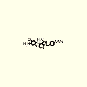 COc1ccc(Cn2nc(C)c3c(Oc4cc(Cl)c(N)cc4F)ccnc32)cc1